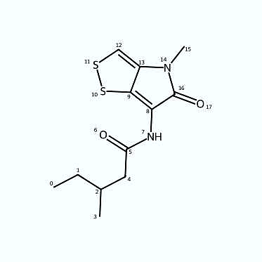 CCC(C)CC(=O)Nc1c2sscc-2n(C)c1=O